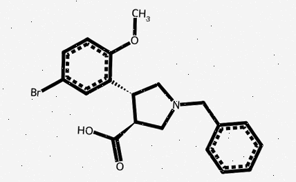 COc1ccc(Br)cc1[C@@H]1CN(Cc2ccccc2)C[C@H]1C(=O)O